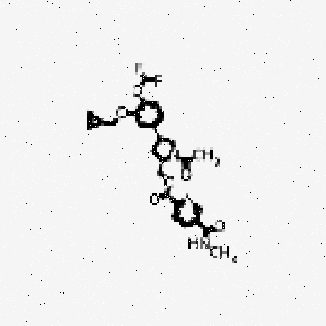 CNC(=O)c1ccc(C(=O)OC[C@H]2C[C@@H](c3ccc(OC(F)F)c(OCC4CC4)c3)CN2C(C)=O)nc1